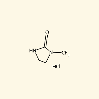 Cl.O=C1NCCN1C(F)(F)F